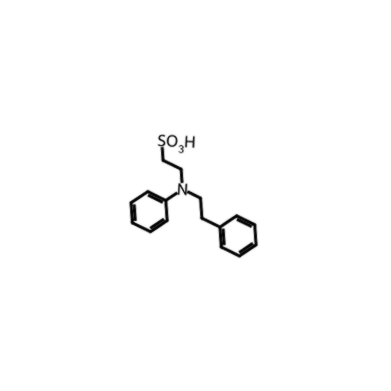 O=S(=O)(O)CCN(CCc1ccccc1)c1ccccc1